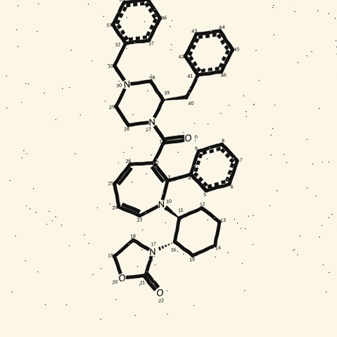 O=C(C1=C(c2ccccc2)N([C@H]2CCCC[C@@H]2N2CCOC2=O)C=CC=C1)N1CCN(Cc2ccccc2)C[C@H]1Cc1ccccc1